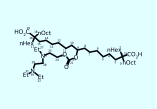 CCCCCCCCC(CCCCCC)(CCCCCCC(CCCCCCC(CCCCCC)(CCCCCCCC)C(=O)O)OC(=O)OCCN(CC)CCN(CC)CC)C(=O)O